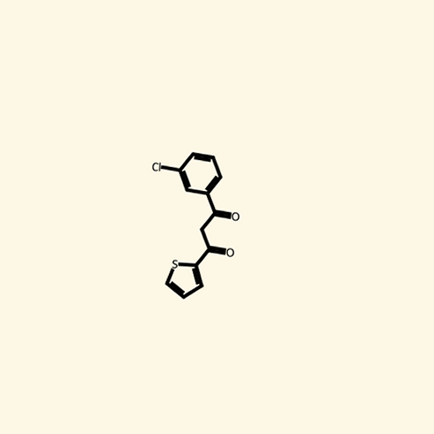 O=C(CC(=O)c1cccs1)c1cccc(Cl)c1